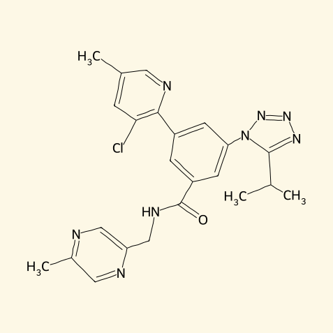 Cc1cnc(-c2cc(C(=O)NCc3cnc(C)cn3)cc(-n3nnnc3C(C)C)c2)c(Cl)c1